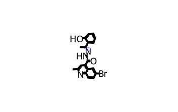 C/C(=N\NC(=O)c1cc(C)nc2ccc(Br)cc12)c1ccccc1O